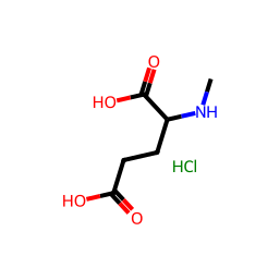 CNC(CCC(=O)O)C(=O)O.Cl